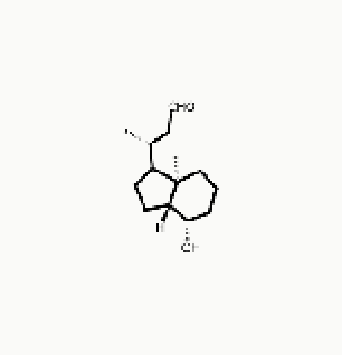 C[C@H](CC=O)C1CC[C@H]2[C@@H](O)CCC[C@]12C